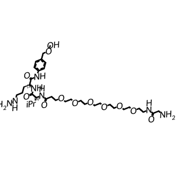 CC(C)[C@H](NC(=O)CCOCCOCCOCCOCCOCCOCCNC(=O)CN)C(=O)N[C@@H](CCCNN)C(=O)Nc1ccc(COO)cc1